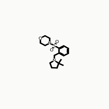 CC1(C)CCCN1Cc1ccccc1S(=O)(=O)N1CCOCC1